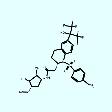 Cc1ccc(S(=O)(=O)N2c3ccc(C(O)(C(F)(F)F)C(F)(F)F)cc3CC[C@H]2CC(=O)N[C@@H]2C[C@H](CO)[C@@H](O)[C@H]2O)cc1